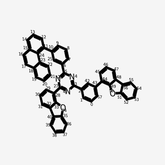 c1cc(-c2nc(-c3cccc(-c4cccc5ccc6ccccc6c45)c3)nc(-c3cccc4c3oc3ccccc34)n2)cc(-c2cccc3c2oc2ccccc23)c1